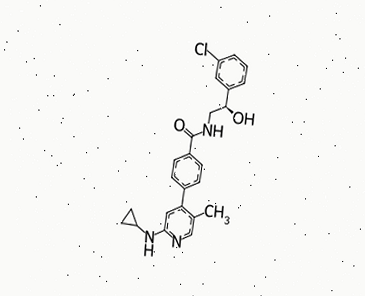 Cc1cnc(NC2CC2)cc1-c1ccc(C(=O)NC[C@H](O)c2cccc(Cl)c2)cc1